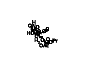 C#C[C@]1(C)[C@H](CCOCC[C@@H](OC(C)=O)C(=O)OC(C)C)[C@@H](COP=O)O[C@H]1n1ccc(=O)[nH]c1=O